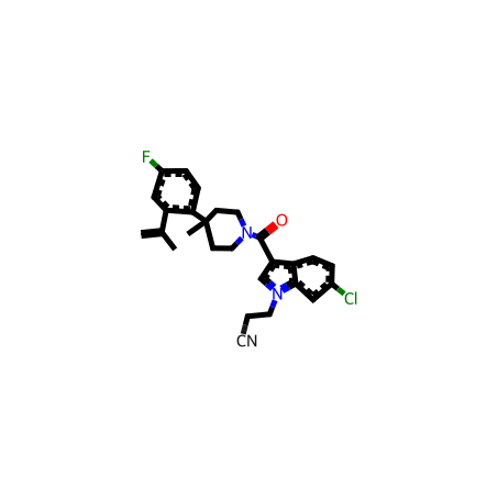 C=C(C)c1cc(F)ccc1C1(C)CCN(C(=O)c2cn(CCC#N)c3cc(Cl)ccc23)CC1